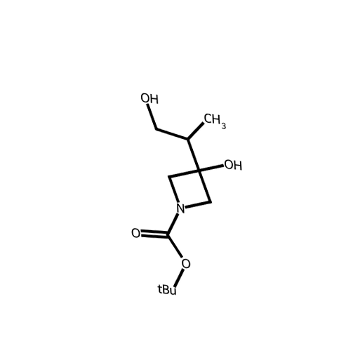 CC(CO)C1(O)CN(C(=O)OC(C)(C)C)C1